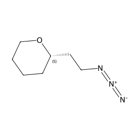 [N-]=[N+]=NCC[C@@H]1CCCCO1